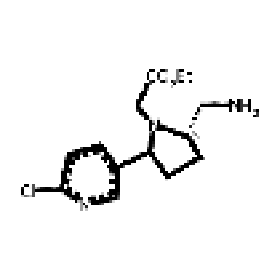 CCOC(=O)CN1C(c2ccc(Cl)nc2)CC[C@H]1CN